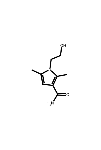 Cc1cc(C(N)=O)c(C)n1CCO